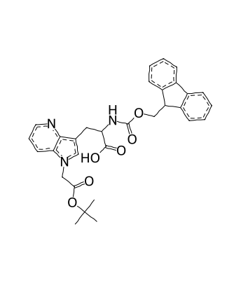 CC(C)(C)OC(=O)Cn1cc(CC(NC(=O)OCC2c3ccccc3-c3ccccc32)C(=O)O)c2ncccc21